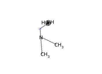 CCCCCCCCCCCCCCCCCCN(CCCCCCCC/C=C\CCCCCCCCOP(=O)(O)O)CCCCCCCCCCCCCCCCCC